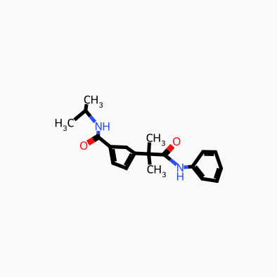 CC(C)NC(=O)C1=CC=C(C(C)(C)C(=O)Nc2ccccc2)C1